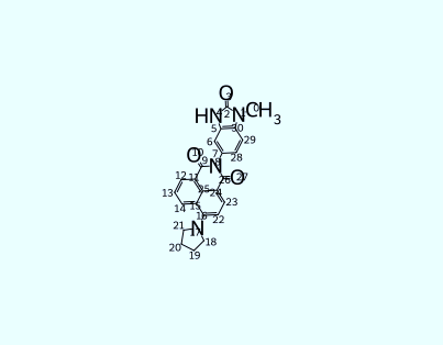 Cn1c(=O)[nH]c2cc(N3C(=O)c4cccc5c(N6CCCC6)ccc(c45)C3=O)ccc21